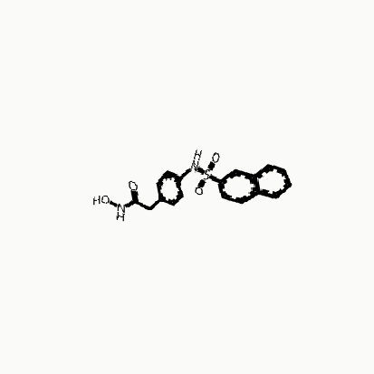 O=C(Cc1ccc(NS(=O)(=O)c2ccc3ccccc3c2)cc1)NO